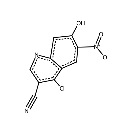 N#Cc1cnc2cc(O)c([N+](=O)[O-])cc2c1Cl